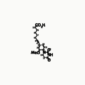 COc1cc(C#CCCCCCC(=O)O)ccc1N1CCC(=O)NC1=O